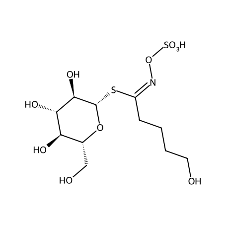 O=S(=O)(O)O/N=C(/CCCCO)S[C@@H]1O[C@H](CO)[C@@H](O)[C@H](O)[C@H]1O